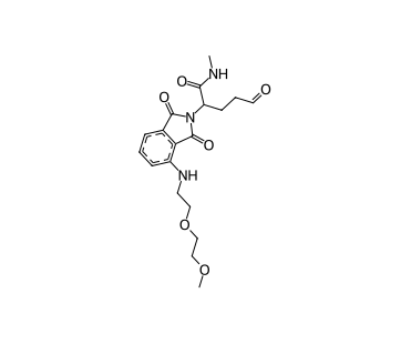 CNC(=O)C(CCC=O)N1C(=O)c2cccc(NCCOCCOC)c2C1=O